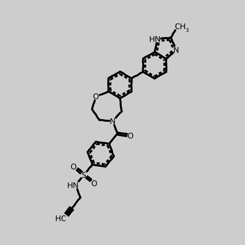 C#CCNS(=O)(=O)c1ccc(C(=O)N2CCOc3ccc(-c4ccc5nc(C)[nH]c5c4)cc3C2)cc1